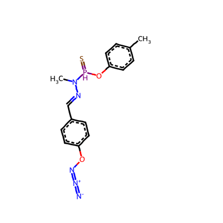 Cc1ccc(O[PH](=S)N(C)/N=C/c2ccc(ON=[N+]=[N-])cc2)cc1